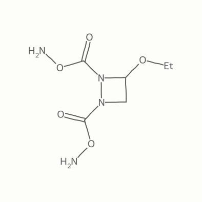 CCOC1CN(C(=O)ON)N1C(=O)ON